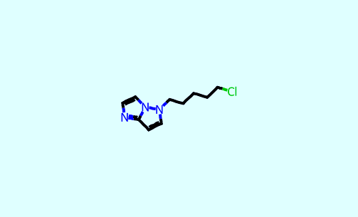 ClCCCCCn1ccc2nccn21